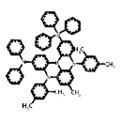 Cc1ccc(N2c3ccc([Si](c4ccccc4)(c4ccccc4)c4ccccc4)cc3B3c4ccc(N(c5ccccc5)c5ccccc5)cc4N(c4ccc(C)cc4C)c4cc(C)cc2c43)c(C)c1